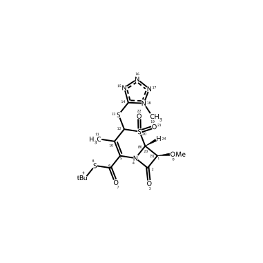 CO[C@H]1C(=O)N2C(C(=O)SC(C)(C)C)=C(C)C(Sc3nnnn3C)S(=O)(=O)[C@H]12